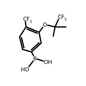 CC(C)(Oc1cc(B(O)O)ccc1C(F)(F)F)C(F)(F)F